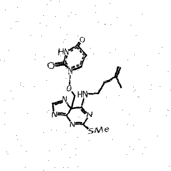 C=C(C)CCNC1=NC(SC)=NC2=NC=NC21COn1ccc(=O)[nH]c1=O